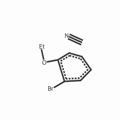 C#N.CCOc1ccccc1Br